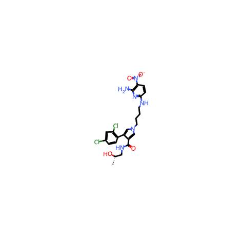 C[C@H](O)CNC(=O)c1cn(CCCCNc2ccc([N+](=O)[O-])c(N)n2)cc1-c1ccc(Cl)cc1Cl